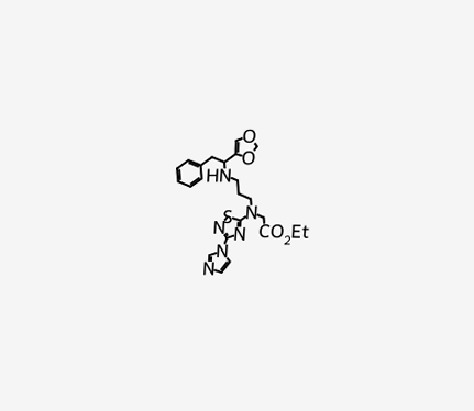 CCOC(=O)CN(CCCNC(Cc1ccccc1)C1=COCO1)c1nc(-n2ccnc2)ns1